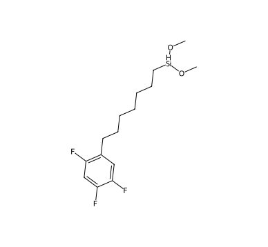 CO[SiH](CCCCCCCc1cc(F)c(F)cc1F)OC